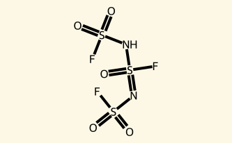 O=S(=O)(F)N=S(=O)(F)NS(=O)(=O)F